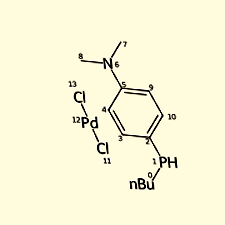 CCCCPc1ccc(N(C)C)cc1.[Cl][Pd][Cl]